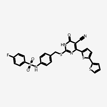 N#Cc1c(-c2ccc(-c3cccs3)s2)nc(SCc2ccc(NS(=O)(=O)c3ccc(F)cc3)cc2)[nH]c1=O